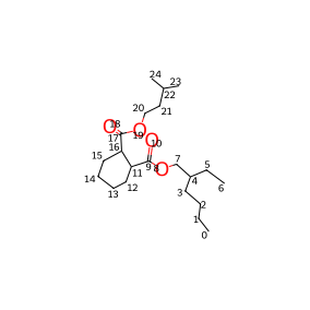 CCCCC(CC)COC(=O)C1CCCCC1C(=O)OCCC(C)C